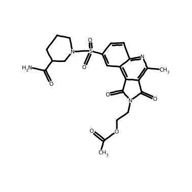 CC(=O)OCCN1C(=O)c2c(C)nc3ccc(S(=O)(=O)N4CCCC(C(N)=O)C4)cc3c2C1=O